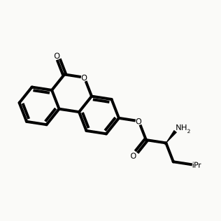 CC(C)C[C@H](N)C(=O)Oc1ccc2c(c1)oc(=O)c1ccccc12